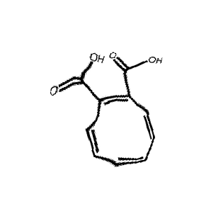 O=C(O)C1=C(C(=O)O)C=CC=CC=C1